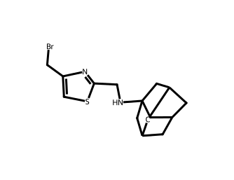 BrCc1csc(CNC23CC4CC(CC(C4)C2)C3)n1